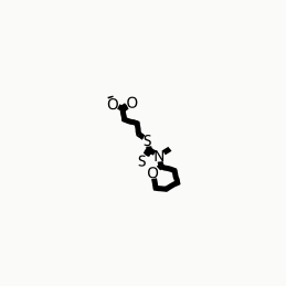 COC(=O)CCCSC(=S)N(C)C1CCCCO1